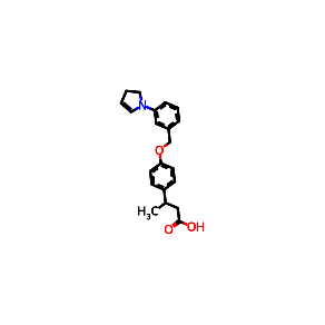 CC(CC(=O)O)c1ccc(OCc2cccc(N3C=CCC3)c2)cc1